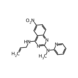 C=CCNc1nc(N(C)c2ccccn2)nc2ccc([N+](=O)[O-])cc12